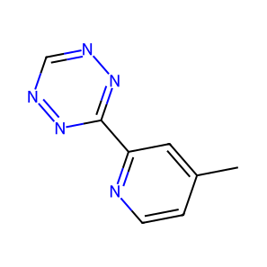 Cc1ccnc(-c2nncnn2)c1